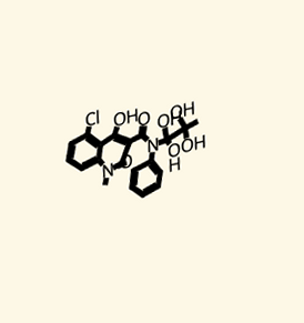 Cn1c(=O)c(C(=O)N(c2ccccc2)C(O)(O)C(C)(O)O)c(O)c2c(Cl)cccc21